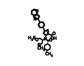 COCC(COC)N(c1cc(-c2ccc(-c3cc4ncccn4n3)cc2)sc1C(=O)O)C(=O)[C@H]1CC[C@H](C)CC1